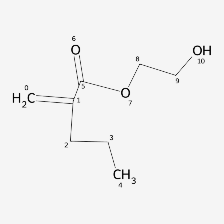 C=C(CCC)C(=O)OCCO